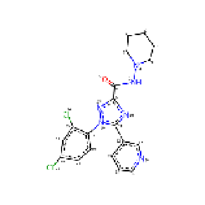 O=C(NN1CCCCC1)c1nc(-c2cccnc2)n(-c2ccc(Cl)cc2Cl)n1